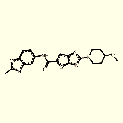 COC1CCN(c2nc3sc(C(=O)Nc4ccc5oc(C)nc5c4)cc3s2)CC1